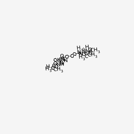 COC(=O)N[C@H](C(=O)N1CCC[C@H]1c1ncc(-c2ccc3cc(-c4ccc5c(=O)[nH]c([C@@H]6CCCN6C(=O)[C@H](NC(=O)OC(C)(C)C)c6ccccc6)nc5c4)ccc3c2)[nH]1)C(C)C